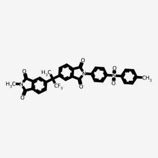 Cc1ccc(S(=O)(=O)c2ccc(N3C(=O)c4ccc(C(C)(c5ccc6c(c5)C(=O)N(C)C6=O)C(F)(F)F)cc4C3=O)cc2)cc1